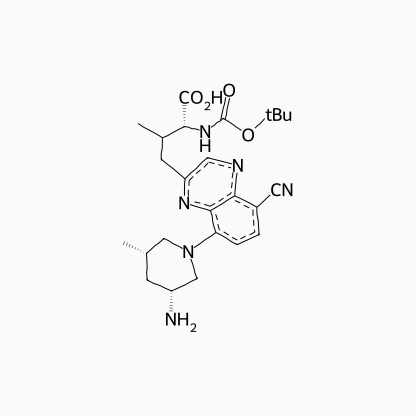 CC(Cc1cnc2c(C#N)ccc(N3C[C@@H](C)C[C@@H](N)C3)c2n1)[C@@H](NC(=O)OC(C)(C)C)C(=O)O